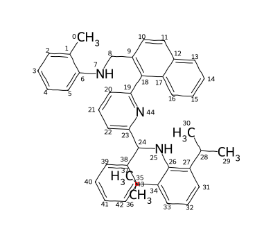 Cc1ccccc1NCc1ccc2ccccc2c1-c1cccc(C(Nc2c(C(C)C)cccc2C(C)C)c2ccccc2)n1